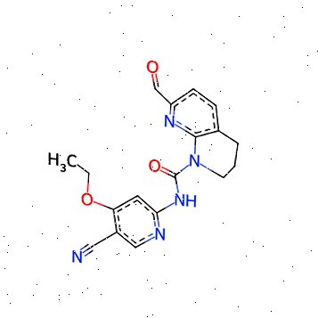 CCOc1cc(NC(=O)N2CCCc3ccc(C=O)nc32)ncc1C#N